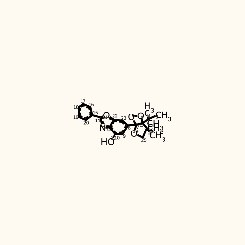 CC(C)(C)C12OOC1(c1cc(O)c3nc(-c4ccccc4)oc3c1)OCC2(C)C